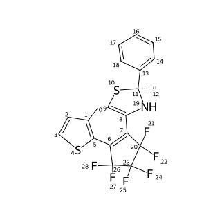 Cc1ccsc1C1=C(C2=CS[C@@](C)(c3ccccc3)N2)C(F)(F)C(F)(F)C1(F)F